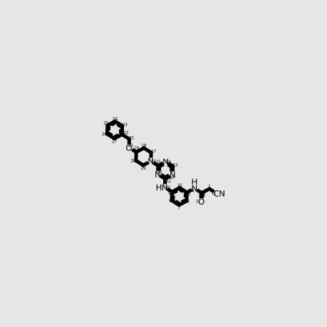 N#CCC(=O)Nc1cccc(Nc2ncnc(N3CCC(OCc4ccccc4)CC3)n2)c1